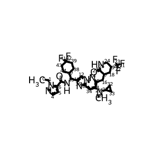 CCn1nccc1C(=O)N[C@H](c1cn2nc(CC3C[C@@H](C(F)(F)F)CNC3=O)c(N(C)C3CC3)cc2n1)C1CCC(F)(F)CC1